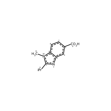 CC(C)c1nc2cc(C(=O)O)ccc2n1C